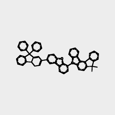 CC1(C)c2ccccc2-c2c1ccc1c2c2ccccc2n1-c1cccc2c1oc1ccc(C3=CCC4C(=C3)C(c3ccccc3)(c3ccccc3)c3ccccc34)cc12